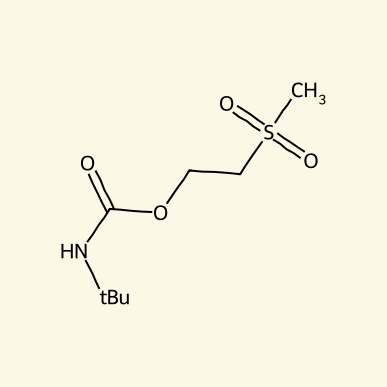 CC(C)(C)NC(=O)OCCS(C)(=O)=O